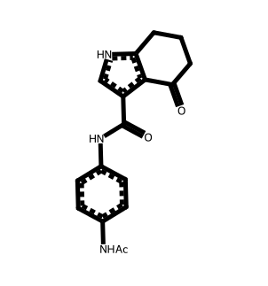 CC(=O)Nc1ccc(NC(=O)c2c[nH]c3c2C(=O)CCC3)cc1